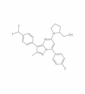 Cc1nn2c(-c3ccc(F)cc3)cc(N3CCCC3CO)nc2c1-c1ccc(C(F)F)cc1